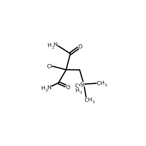 C[Si](C)(C)CC(Cl)(C(N)=O)C(N)=O